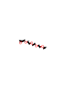 C=COCCOCCOCCOCC1CO1